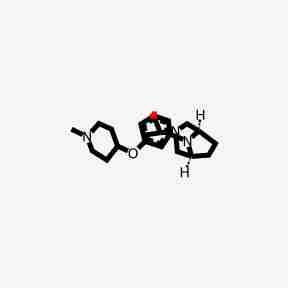 CC(C)N1C[C@H]2CC[C@@H](C1)N2c1cccc(OC2CCN(C)CC2)c1